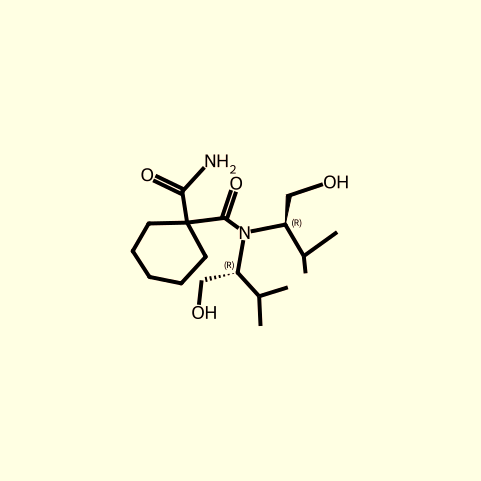 CC(C)[C@H](CO)N(C(=O)C1(C(N)=O)CCCCC1)[C@@H](CO)C(C)C